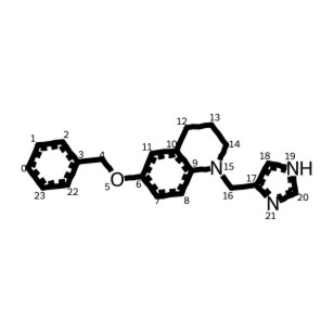 c1ccc(COc2ccc3c(c2)CCCN3Cc2c[nH]cn2)cc1